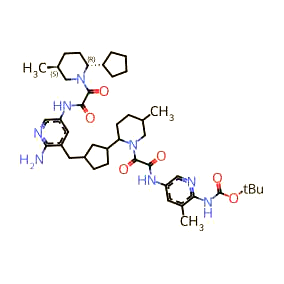 Cc1cc(NC(=O)C(=O)N2CC(C)CCC2C2CCC(Cc3cc(NC(=O)C(=O)N4C[C@@H](C)CC[C@@H]4C4CCCC4)cnc3N)C2)cnc1NC(=O)OC(C)(C)C